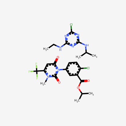 CC(C)OC(=O)c1cc(-n2c(=O)cc(C(F)(F)F)n(C)c2=O)ccc1Cl.CCNc1nc(Cl)nc(NC(C)C)n1